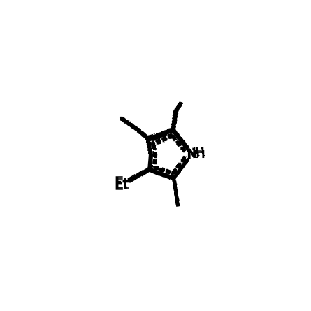 CCc1c(C)[nH]c(C)c1C